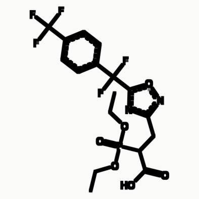 CCOP(=O)(OCC)C(Cc1noc(C(F)(F)c2ccc(C(F)(F)F)cc2)n1)C(=O)O